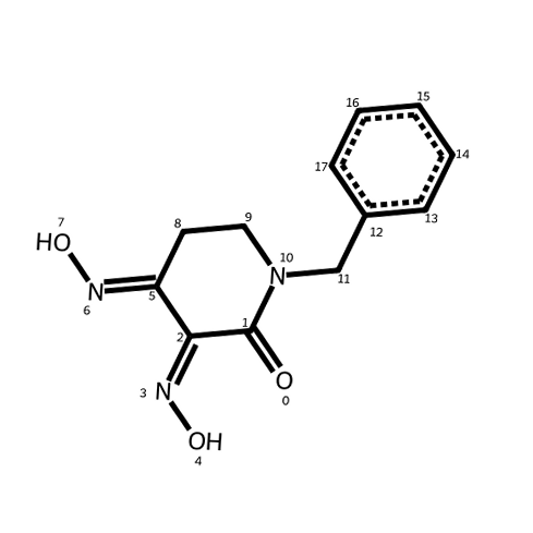 O=C1C(=NO)C(=NO)CCN1Cc1ccccc1